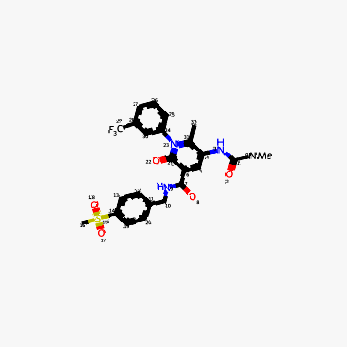 CNC(=O)Nc1cc(C(=O)NCc2ccc(S(C)(=O)=O)cc2)c(=O)n(-c2cccc(C(F)(F)F)c2)c1C